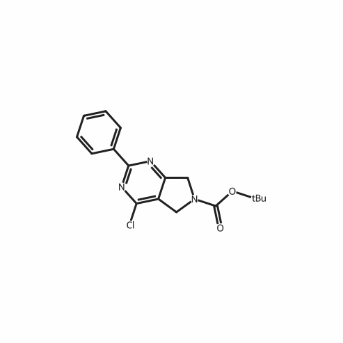 CC(C)(C)OC(=O)N1Cc2nc(-c3ccccc3)nc(Cl)c2C1